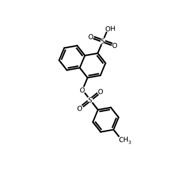 Cc1ccc(S(=O)(=O)Oc2ccc(S(=O)(=O)O)c3ccccc23)cc1